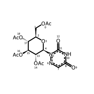 CC(=O)OC[C@H]1O[C@@H](n2ncc(=O)[nH]c2=O)[C@H](OC(C)=O)[C@@H](OC(C)=O)[C@@H]1OC(C)=O